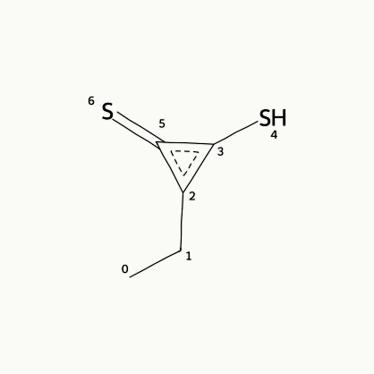 CCc1c(S)c1=S